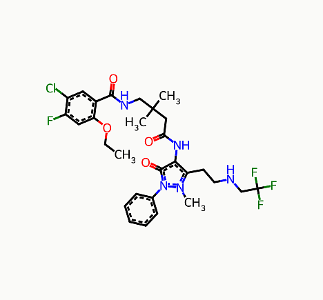 CCOc1cc(F)c(Cl)cc1C(=O)NCC(C)(C)CC(=O)Nc1c(CCNCC(F)(F)F)n(C)n(-c2ccccc2)c1=O